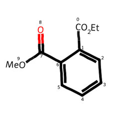 CCOC(=O)c1ccccc1C(=O)OC